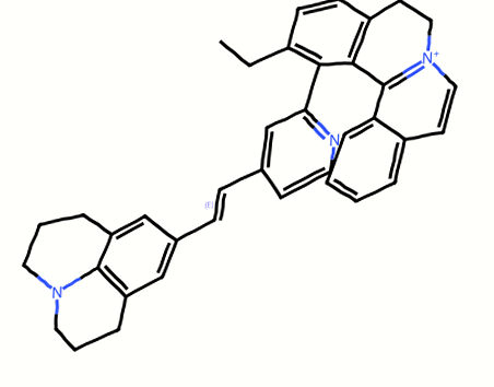 CCc1ccc2c(c1-c1cc(/C=C/c3cc4c5c(c3)CCCN5CCC4)ccn1)-c1c3ccccc3cc[n+]1CC2